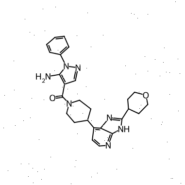 Nc1c(C(=O)N2CCC(c3ccnc4[nH]c(C5CCOCC5)nc34)CC2)cnn1-c1ccccc1